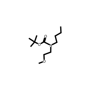 CCCCN(CCOC)C(=O)OC(C)(C)C